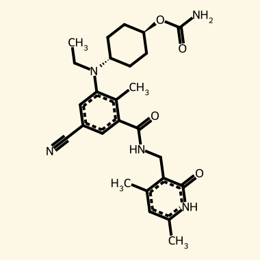 CCN(c1cc(C#N)cc(C(=O)NCc2c(C)cc(C)[nH]c2=O)c1C)[C@H]1CC[C@H](OC(N)=O)CC1